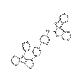 c1ccc(-n2c3ccccc3c3cccc(-c4ccc(-c5ccc(Nc6cc7ccccc7c7c6oc6ccccc67)cc5)cc4)c32)cc1